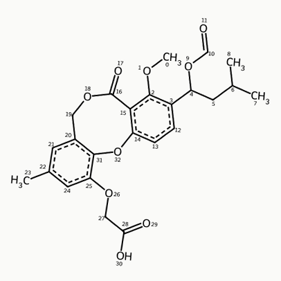 COc1c(C(CC(C)C)OC=O)ccc2c1C(=O)OCc1cc(C)cc(OCC(=O)O)c1O2